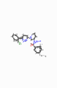 COc1ccc(C(=O)NC2CCCN(c3ccc(-c4ccccc4Cl)nn3)C2)cc1